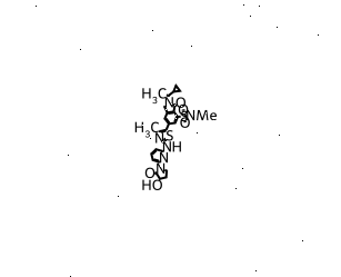 CNS(=O)(=O)c1cc(-c2sc(Nc3cccc(N4CC[C@H](O)C4=O)n3)nc2C)cc2c1C(=O)N(C(C)C1CC1)C2